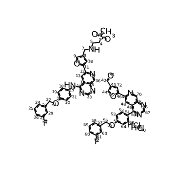 CS(=O)(=O)CCNCc1coc(-c2cc3c(Nc4ccc(OCc5cccc(F)c5)cc4)ncnc3cn2)c1.Cl.Cl.O=Cc1coc(-c2cc3c(-c4ccc(OCc5cccc(F)c5)cc4)ncnc3cn2)c1